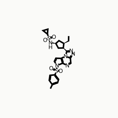 CC[C@@H]1C[C@H](NS(=O)(=O)C2CC2)C[C@@H]1c1nnc2cnc3c(ccn3S(=O)(=O)c3ccc(C)cc3)n12